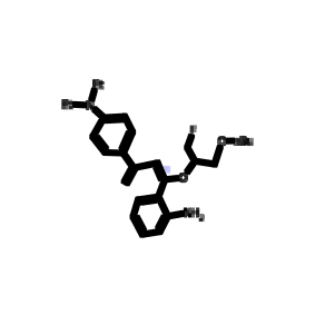 C=C(/C=C(/OC(CF)COCCCC)c1ccccc1N)c1ccc(N(CC)CC)cc1